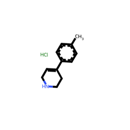 Cc1ccc(C2=CCNCC2)cc1.Cl